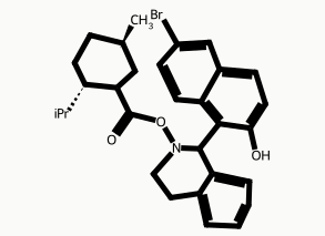 CC(C)[C@@H]1CC[C@@H](C)CC1C(=O)ON1CCc2ccccc2C1c1c(O)ccc2cc(Br)ccc12